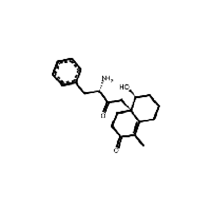 CC1=C2CCC[C@H](O)[C@@]2(CC(=O)[C@@H](N)Cc2ccccc2)CCC1=O